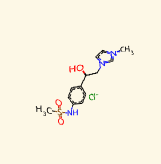 C[n+]1ccn(CC(O)c2ccc(NS(C)(=O)=O)cc2)c1.[Cl-]